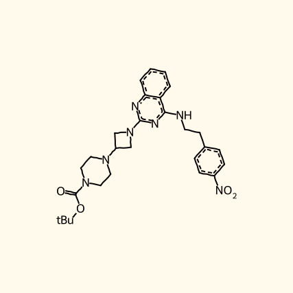 CC(C)(C)OC(=O)N1CCN(C2CN(c3nc(NCCc4ccc([N+](=O)[O-])cc4)c4ccccc4n3)C2)CC1